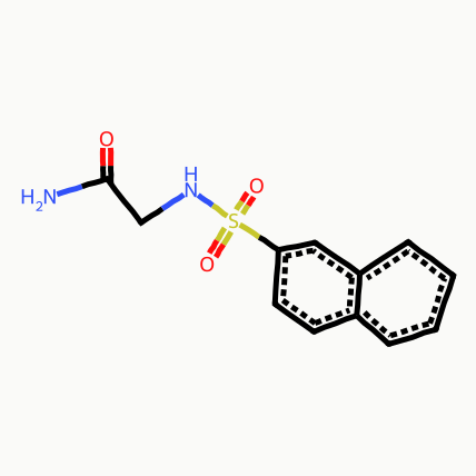 NC(=O)CNS(=O)(=O)c1ccc2ccccc2c1